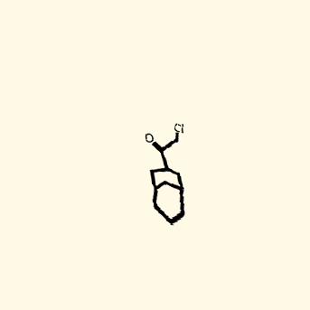 O=C(CCl)C1CC2CCCC(C2)C1